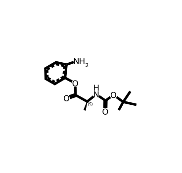 C[C@H](NC(=O)OC(C)(C)C)C(=O)Oc1ccccc1N